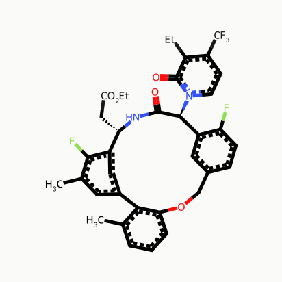 CCOC(=O)C[C@@H]1NC(=O)[C@@H](n2ccc(C(F)(F)F)c(CC)c2=O)c2cc(ccc2F)COc2cccc(C)c2-c2cc(C)c(F)c1c2